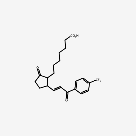 O=C(O)CCCCCCC1C(=O)CCC1C=CC(=O)c1ccc(C(F)(F)F)cc1